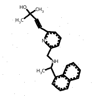 CC(NCc1cccc(C#CC(C)(C)O)n1)c1cccc2ccccc12